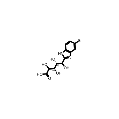 O=C(O)C(O)[C@H](O)[C@H](O)C(O)c1nc2cc(Br)ccc2[nH]1